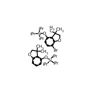 CC(C)[Si](Oc1ccc(Br)c2c1C(C)(C)CO2)(C(C)C)C(C)C.CC(C)[Si](Oc1cccc2c1C(C)(C)CO2)(C(C)C)C(C)C